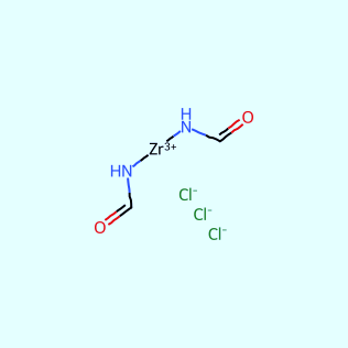 O=C[NH][Zr+3][NH]C=O.[Cl-].[Cl-].[Cl-]